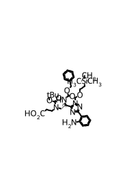 CC(C)(C)OC(=O)N(CCC(=O)O)C[C@H](NC(=O)OCc1ccccc1)c1nc(-c2ccccc2N)nn1COCC[Si](C)(C)C